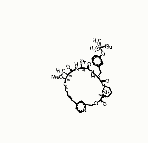 CO[C@@H]1CCC=Cc2ccnc(c2)COC(=O)[C@@H]2CCCN(N2)C(=O)[C@H](Cc2cccc(O[Si](C)(C)C(C)(C)C)c2)NC(=O)[C@H](C(C)C)NC(=O)[C@@H]1C